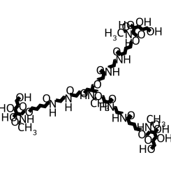 CCNC(COCCC(=O)NCCCNC(=O)CCCCOC1OC(CO)C(O)C(O)C1NC(C)=O)(COCCC(=O)NCCCNC(=O)CCCCOC1OC(CO)C(O)C(O)C1NC(C)=O)COCCC(=O)NCCCNC(=O)CCCCOC1OC(CO)C(O)C(O)C1NC(C)=O